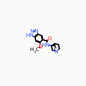 COc1cc2[nH]nnc2cc1C(=O)NC1CN2CCC1CC2